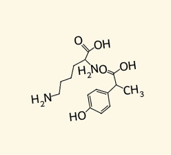 CC(C(=O)O)c1ccc(O)cc1.NCCCCC(N)C(=O)O